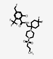 CCCS(=O)(=O)N1CCN(C2(CNC(=O)c3c(Cl)cc(CF)cc3C(F)(F)F)CCC(F)(F)CC2)CC1